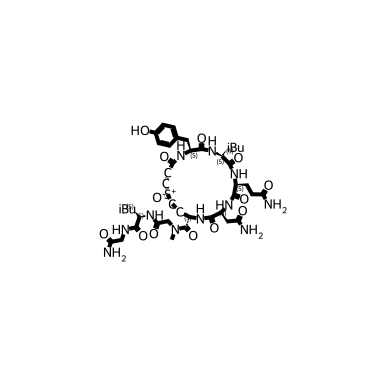 CC[C@H](C)[C@H](NC(=O)CN(C)C(=O)[C@@H]1CC[S+]([O-])CCC(=O)N[C@@H](Cc2ccc(O)cc2)C(=O)N[C@@H]([C@@H](C)CC)C(=O)N[C@@H](CCC(N)=O)C(=O)N[C@@H](CC(N)=O)C(=O)N1)C(=O)NCC(N)=O